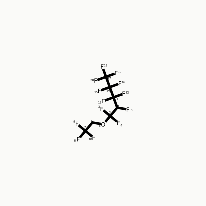 FC(C(F)(F)OCC(F)(F)F)C(F)(F)C(F)(F)C(F)(F)F